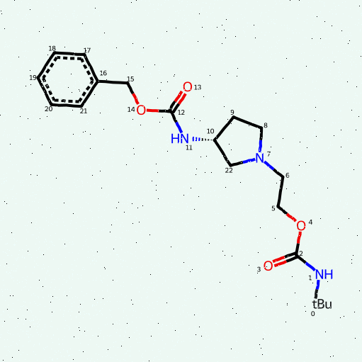 CC(C)(C)NC(=O)OCCN1CC[C@@H](NC(=O)OCc2ccccc2)C1